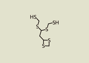 SCSC(CC1SCS1)SCS